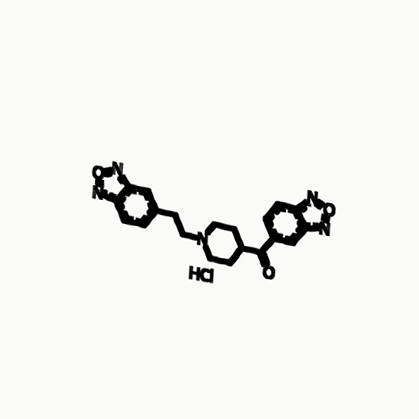 Cl.O=C(c1ccc2nonc2c1)C1CCN(CCc2ccc3nonc3c2)CC1